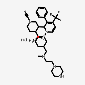 CN(CCN1CCNCC1)CC1CCCN(N2C=CC(C(F)(F)F)=C(c3ccccc3)C2C2CN(C#N)CCC2C(N)=O)C1.Cl